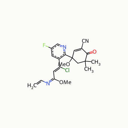 C=C/N=C(\C=C(/Cl)c1cc(F)cnc1C1(OC)C=C(C#N)C(=O)C(C)(C)C1)OC